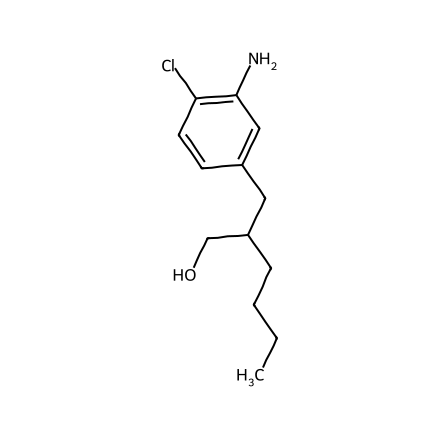 CCCCC(CO)Cc1ccc(Cl)c(N)c1